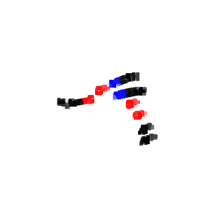 N#[SiH].N#[SiH].O=[SiH2].[Al+3].[Al+3].[O-2].[O-2].[O-2]